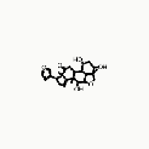 CC12C(=O)CC3C(C)(C1=CCC2c1ccoc1)C(O)C1OCC2(C)C(O)CC(O)C3(C)C12